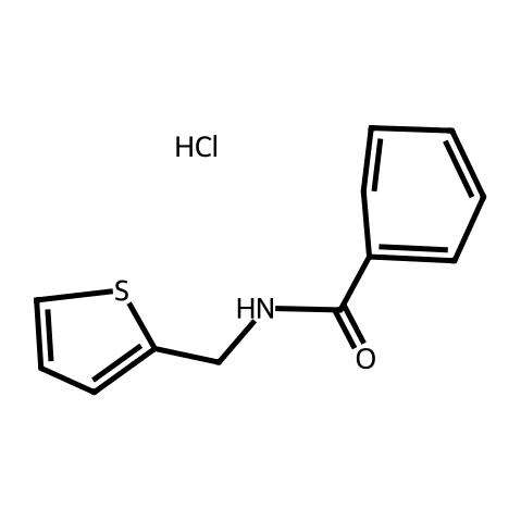 Cl.O=C(NCc1cccs1)c1ccccc1